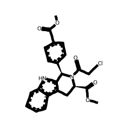 COC(=O)c1ccc([C@@H]2c3[nH]c4ccccc4c3C[C@H](C(=O)OC)N2C(=O)CCl)cc1